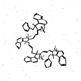 CN1/C(=C/C=C/C2=[N+](C)c3ccc4ccccc4c3C2(C)CC=CCC2(C)C(/C=C/C=C3/N(C)c4ccc5ccccc5c4C3(C)Cc3ccccc3)=[N+](C)c3ccc4ccccc4c32)C(C)(Cc2ccccc2)c2c1ccc1ccccc21